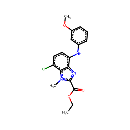 CCOC(=O)c1nc2c(Nc3cccc(OC)c3)ccc(Cl)c2n1C